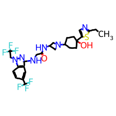 CCc1ncc(C2(O)CCC(N3CC(NC(=O)CNc4nn(CC(F)(F)F)c5ccc(C(F)(F)F)cc45)C3)CC2)s1